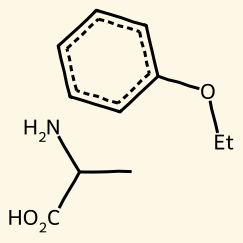 CC(N)C(=O)O.CCOc1ccccc1